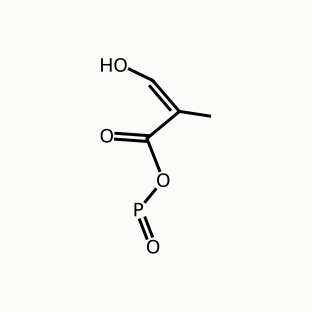 CC(=CO)C(=O)OP=O